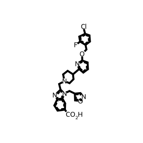 O=C(O)c1ccc2nc(CN3CCC(c4cccc(OCc5ccc(Cl)cc5F)n4)CC3)n(Cc3cnoc3)c2c1